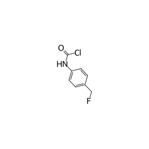 O=C(Cl)Nc1ccc(CF)cc1